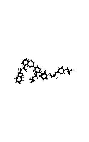 Cc1c(OC[C@@H](C)CC2CCN(CC(=O)O)CC2)cccc1-c1ccc(N2CCc3cccc(C(=O)Nc4nc5ccccc5s4)c3C2)nc1C(=O)OC(C)(C)C